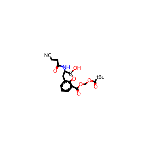 CC(C)(C)C(=O)OCOC(=O)c1cccc2c1OB(O)C(NC(=O)CCC#N)C2